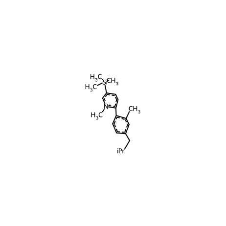 Cc1cc(CC(C)C)ccc1-c1ccc([Si](C)(C)C)c[n+]1C